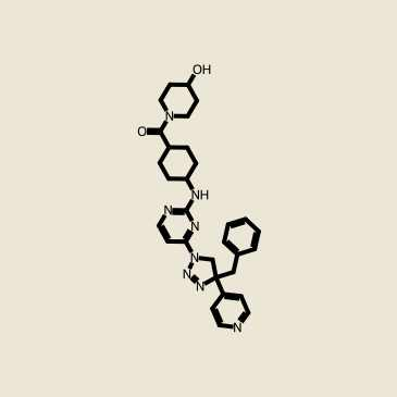 O=C(C1CCC(Nc2nccc(N3CC(Cc4ccccc4)(c4ccncc4)N=N3)n2)CC1)N1CCC(O)CC1